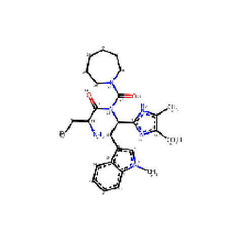 Cc1[nH]c([C@@H](Cc2cn(C)c3ccccc23)N(C(=O)[C@@H](N)CC(C)C)C(=O)N2CCCCCC2)nc1C(=O)O